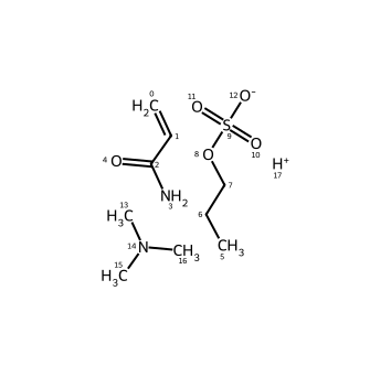 C=CC(N)=O.CCCOS(=O)(=O)[O-].CN(C)C.[H+]